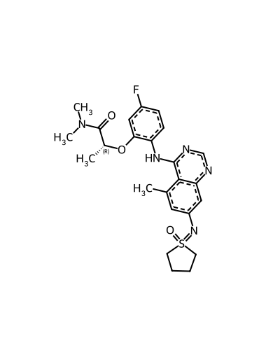 Cc1cc(N=S2(=O)CCCC2)cc2ncnc(Nc3ccc(F)cc3O[C@H](C)C(=O)N(C)C)c12